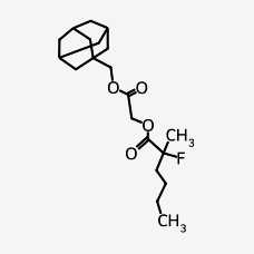 CCCCC(C)(F)C(=O)OCC(=O)OCC12CC3CC(CC(C3)C1)C2